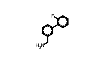 NCc1[c]ccc(-c2ccccc2F)c1